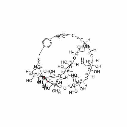 OC[C@H]1O[C@@H]2O[C@H]3C(O)C(O)[C@H](O[C@@H]3CO)O[C@H]3C(O)C(O)[C@@H]4O[C@@H]3CSCc3ccc(cc3)-c3ccc(cc3)CSC[C@H]3O[C@H](O[C@H]5C(O)C(O)[C@H](O[C@@H]5CO)O[C@H]1C(O)C2O)C(O)C(O)[C@@H]3O[C@H]1O[C@H](CO)[C@@H](O[C@H]2O[C@H](CO)[C@@H](O4)C(O)C2O)C(O)C1O